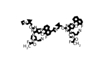 C=C(F)C(=O)N1CCN(c2nc(OCC3(CN4CC(c5cc(F)c(Cl)c6c(N7CCc8c(nc(OCC9(CN%10CCC%10)CC9)nc8N8CCN(C(=O)C(=C)F)[C@@H](CC#N)C8)C7)cccc56)C4)CC3)nc3c2CCN(c2cccc4ccc(F)c(Cl)c24)C3)CC1CC#N